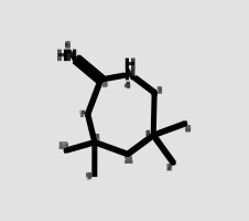 CC1(C)CNC(=N)CC(C)(C)C1